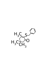 CC1=C(SCc2ccccc2)C(=O)CC(C)(C)C1